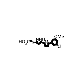 COc1cc(Cl)cc(-c2ccc(-c3cc(SCC(=O)O)n[nH]3)o2)c1